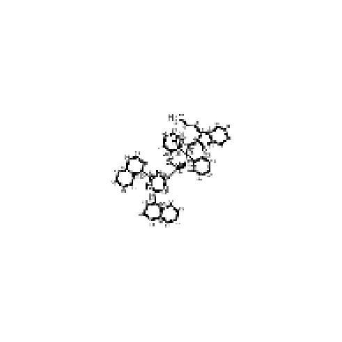 C=C/C=c1\c2n(c3ccccc13)-c1ccccc1C1(C=2C)c2ccccc2Sc2c(-c3nc(-c4cccc5ccccc45)nc(-c4cccc5ccccc45)n3)cccc21